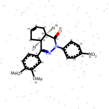 COc1ccc(C2=NN(c3ccc([N+](=O)[O-])cc3)C(=O)[C@@H]3CC=CC[C@H]23)cc1OC